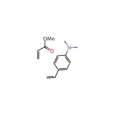 C=CC(=O)OC.C=Cc1ccc(N(C)C)cc1